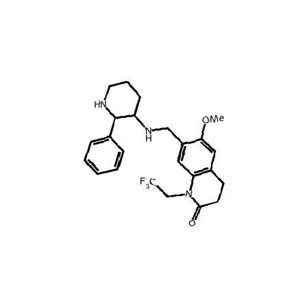 COc1cc2c(cc1CNC1CCCNC1c1ccccc1)N(CC(F)(F)F)C(=O)CC2